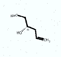 C=CC[C@H](O)COC